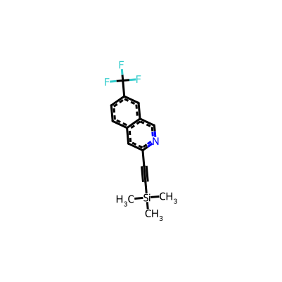 C[Si](C)(C)C#Cc1cc2ccc(C(F)(F)F)cc2cn1